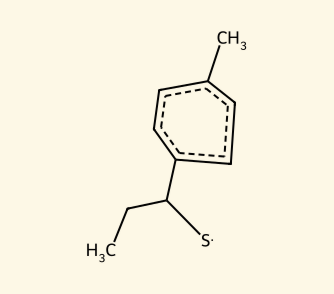 CCC([S])c1ccc(C)cc1